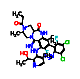 C=CC(=O)N1CC2C(=O)Nc3c(C)c(-c4c(N)c(Cl)cc(Cl)c4F)c(F)c(Nc4c(C)ccnc4C(C)O)c3C(=N)N2CC1C